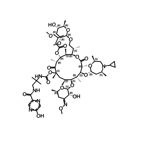 CON=C1C[C@@H](C)O[C@@H](O[C@@H]2[C@@H](C)[C@H](O[C@H]3C[C@H](C)N(C4CC4)C[C@H](C)O3)[C@@H](C)C(=O)O[C@H]([C@@H](C)CO[C@@H]3O[C@H](C)[C@@H](O)[C@@H](OC)[C@H]3OC)[C@H](C)[C@@H](OC(=O)CC(C)C)[C@@H](C)C(=O)[C@@](C)(OC(=O)NC(C)(C)CNC(=O)c3cnc(O)cn3)C[C@@H]2C)[C@@H]1O